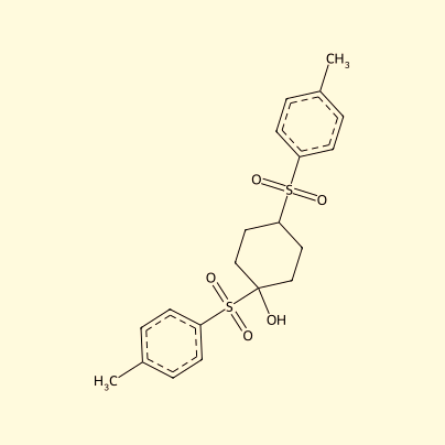 Cc1ccc(S(=O)(=O)C2CCC(O)(S(=O)(=O)c3ccc(C)cc3)CC2)cc1